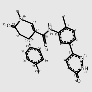 Cc1ccc(-c2ccc(=O)[nH]n2)cc1NC(=O)C1=CN(C)C(=O)C[C@H]1c1ccc(F)cc1